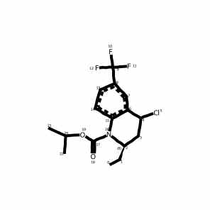 CC[C@@H]1CC(Cl)c2cc(C(F)(F)F)ccc2N1C(=O)OC(C)C